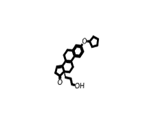 O=C1CC=C2C3=C(CC[C@]12CCCO)c1ccc(OC2CCCC2)cc1CC3